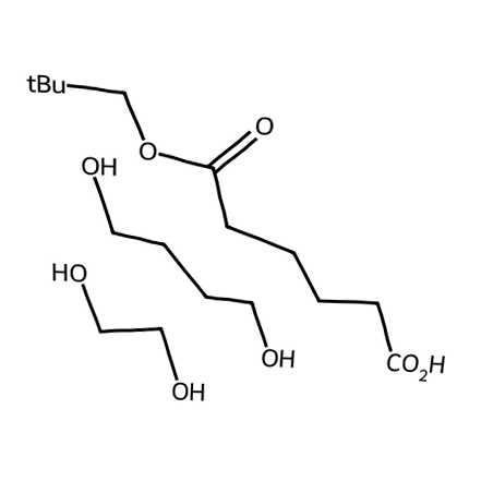 CC(C)(C)COC(=O)CCCCC(=O)O.OCCCCO.OCCO